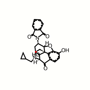 O=C1c2ccc(O)c3c2[C@]24CCN(CC5CC5)[C@H]1C2(O)CC[C@@H](N1C(=O)c2ccccc2C1=O)[C@@H]4O3